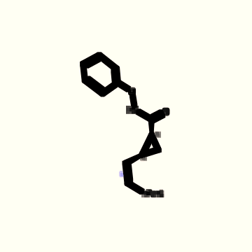 CCCCC/C=C\[C@@H]1C[C@@H]1C(=O)NOc1ccccc1